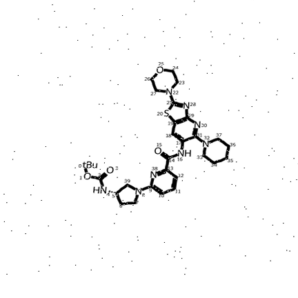 CC(C)(C)OC(=O)N[C@H]1CCN(c2cccc(C(=O)Nc3cc4sc(N5CCOCC5)nc4nc3N3CCCCC3)n2)C1